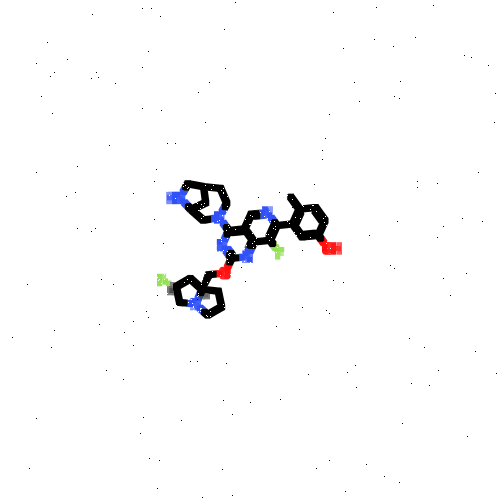 Cc1ccc(O)cc1-c1ncc2c(N3CCC4CNC(C4)C3)nc(OC[C@@]34CCCN3C[C@H](F)C4)nc2c1F